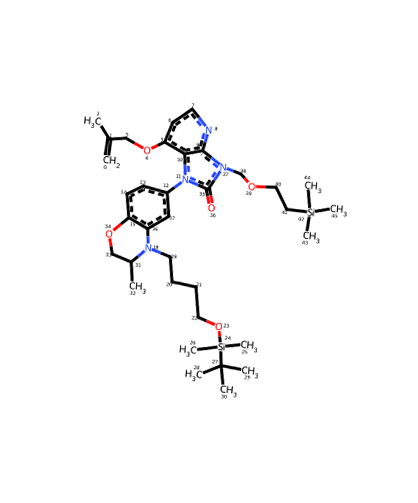 C=C(C)COc1ccnc2c1n(-c1ccc3c(c1)N(CCCCO[Si](C)(C)C(C)(C)C)C(C)CO3)c(=O)n2COCC[Si](C)(C)C